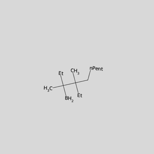 BC(C)(CC)C(C)(CC)CCCCCC